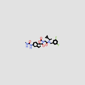 CNC(=O)NC1=CC=C2C(=CC[C@@]23OC(=O)N(CC(=O)N(Cc2cc(F)cc(F)c2)C(C)C2CC2)C3=O)C1